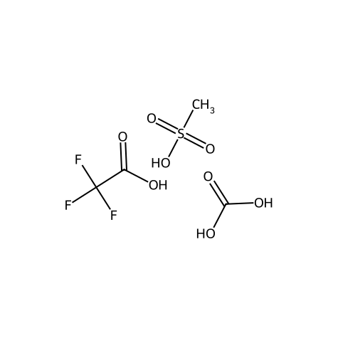 CS(=O)(=O)O.O=C(O)C(F)(F)F.O=C(O)O